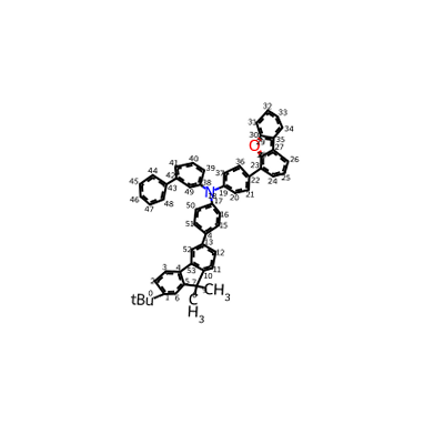 CC(C)(C)c1ccc2c(c1)C(C)(C)c1ccc(-c3ccc(N(c4ccc(-c5cccc6c5oc5ccccc56)cc4)c4cccc(-c5ccccc5)c4)cc3)cc1-2